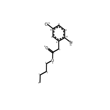 CCCCOC(=O)Cc1cc(Cl)ccc1Br